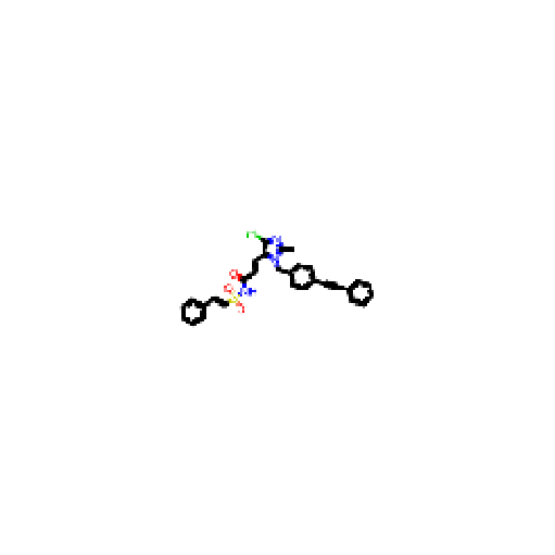 Cc1nc(Cl)c(C=CC(=O)NS(=O)(=O)C=Cc2ccccc2)n1Cc1ccc(C#Cc2ccccc2)cc1